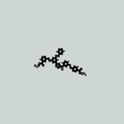 COC(=O)c1ccc(CSc2cccc(Nc3nnc(-c4cc(OCc5ccccc5)cc(OCc5cccc(C(=O)OC)c5)c4)s3)c2)cc1